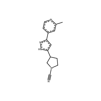 Cc1cc(-c2cc(C3CCN(C#N)C3)[nH]n2)ccn1